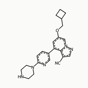 N#Cc1cnn2cc(OCC3CCC3)cc(-c3ccc(N4CCNCC4)nc3)c12